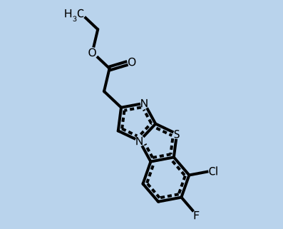 CCOC(=O)Cc1cn2c(n1)sc1c(Cl)c(F)ccc12